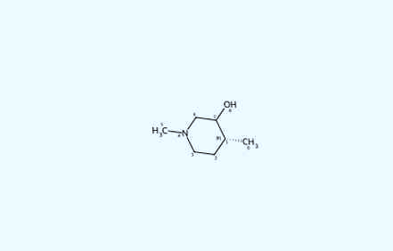 C[C@@H]1CCN(C)CC1O